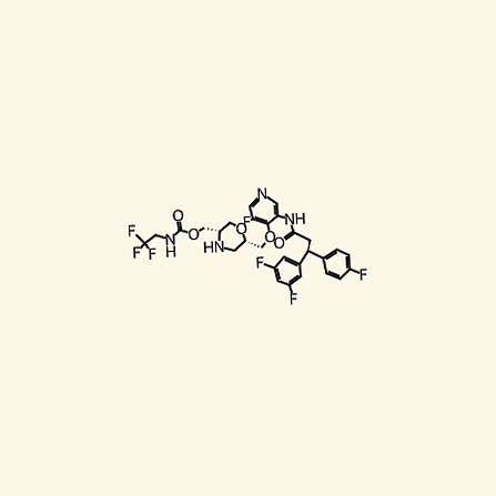 O=C(C[C@@H](c1ccc(F)cc1)c1cc(F)cc(F)c1)Nc1cncc(F)c1OC[C@@H]1CN[C@H](COC(=O)NCC(F)(F)F)CO1